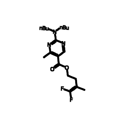 CCCCN(CCCC)c1ncc(C(=O)OCCC(C)=C(F)F)c(C)n1